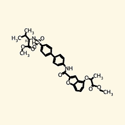 CCOC(=O)C(C)Oc1cccc2oc(C(=O)Nc3ccc(-c4ccc(S(=O)(=O)N[C@H](C(=O)OC)C(C)C)cc4)cc3)cc12